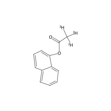 [2H]C([2H])([2H])C(=O)Oc1cccc2ccccc12